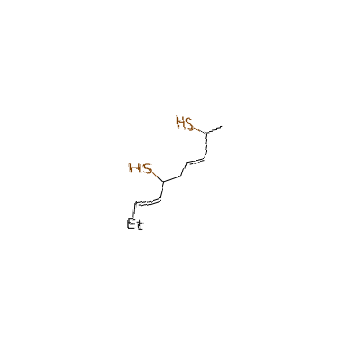 CCC=CC(S)CC=CC(C)S